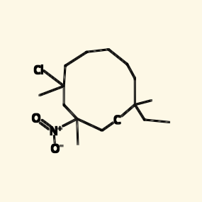 CCC1(C)CCCCCC(C)(Cl)CC(C)([N+](=O)[O-])CC1